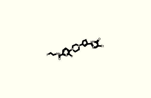 CCc1cnc(C2=CC(N3CCN(c4ccc(C(=O)NCCF)nc4F)CC3)CC2)[nH]c1=O